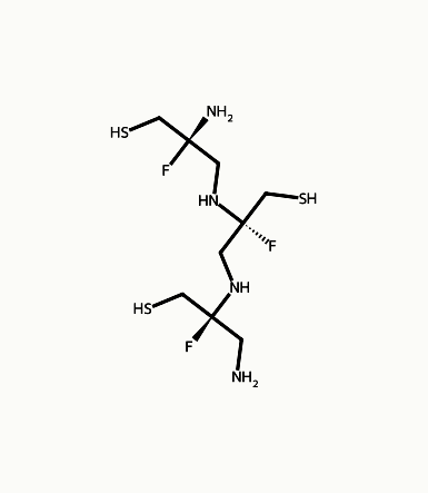 NC[C@](F)(CS)NC[C@](F)(CS)NC[C@](N)(F)CS